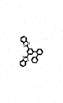 C1=CC(c2ccccc2-c2cc(-c3nc4ccccc4s3)cc(-c3nc4ccccc4s3)c2)=CCC1